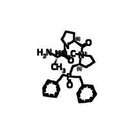 C[C@H](N)C(=O)N1CCC[C@H]1C(=O)[N+]1(C(=O)O)CCC[C@H]1CP(=O)(Cc1ccccc1)Cc1ccccc1